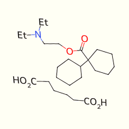 CCN(CC)CCOC(=O)C1(C2CCCCC2)CCCCC1.O=C(O)CCCCC(=O)O